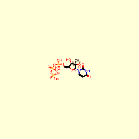 C[C@@]1(O)[C@H](O)/C(=C\OP(=O)(O)OP(=O)(O)OP(=O)(O)O)O[C@H]1n1ccc(=O)[nH]c1=O